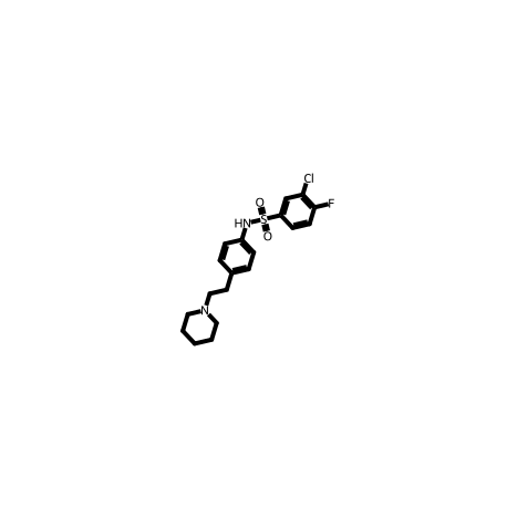 O=S(=O)(Nc1ccc(CCN2CCCCC2)cc1)c1ccc(F)c(Cl)c1